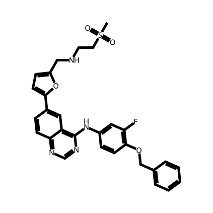 CS(=O)(=O)CCNCc1ccc(-c2ccc3ncnc(Nc4ccc(OCc5ccccc5)c(F)c4)c3c2)o1